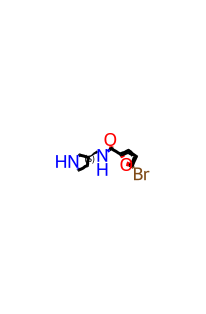 O=C(NC[C@H]1CCNC1)c1ccc(Br)o1